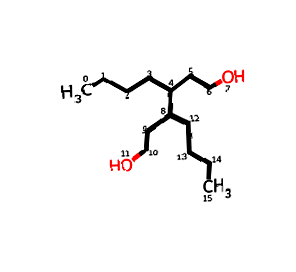 CCCCC(CCO)C(CCO)CCCC